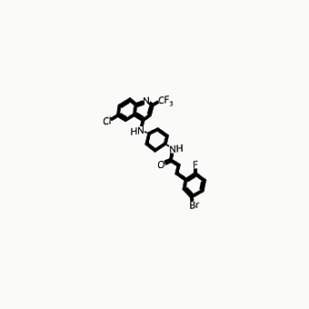 O=C(CCc1cc(Br)ccc1F)N[C@H]1CC[C@@H](Nc2cc(C(F)(F)F)nc3ccc(Cl)cc23)CC1